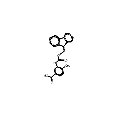 O=C(Nc1cc(C(=O)O)ccc1O)OCC1c2ccccc2-c2ccccc21